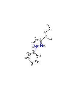 CCCC(C)c1ccn(-c2ccccc2)n1